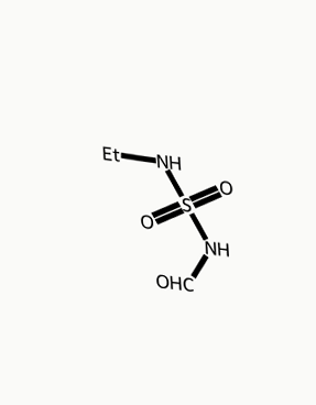 CCNS(=O)(=O)NC=O